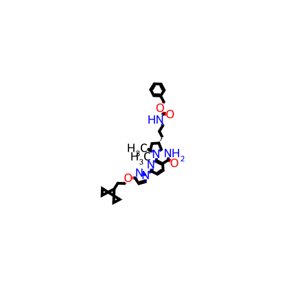 CC1(C)C[C@H](CCCNC(=O)OCc2ccccc2)CN1c1nc(-n2ccc(OCCC3C4(CC4)C34CC4)n2)ccc1C(N)=O